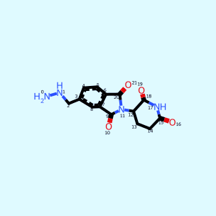 NNCc1ccc2c(c1)C(=O)N(C1CCC(=O)NC1=O)C2=O